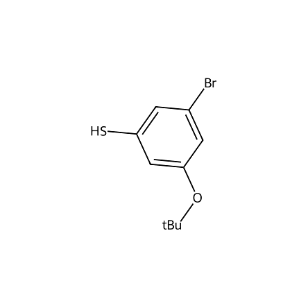 CC(C)(C)Oc1cc(S)cc(Br)c1